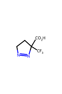 O=C(O)C1(C(F)(F)F)CCN=N1